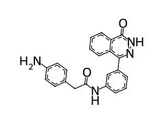 Nc1ccc(CC(=O)Nc2cccc(-c3n[nH]c(=O)c4ccccc34)c2)cc1